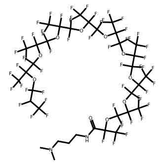 CN(C)CCCNC(=O)C(F)(OC(F)(F)C(F)(OC(F)(F)C(F)(OC(F)(F)C(F)(OC(F)(F)C(F)(OC(F)(F)C(F)(OC(F)(F)C(F)(OC(F)(F)C(F)(OC(F)(F)C(F)(OC(F)(F)C(F)C(F)(F)F)C(F)(F)F)C(F)(F)F)C(F)(F)F)C(F)(F)F)C(F)(F)F)C(F)(F)F)C(F)(F)F)C(F)(F)F)C(F)(F)F